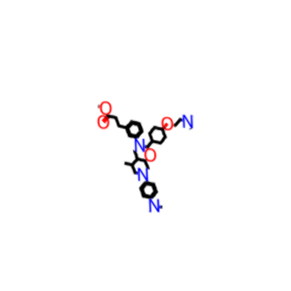 COC(=O)CCc1cccc(N(CC2CCN(c3ccc(N(C)C)cc3)CC2C)C(=O)C2CCC(OCCN(C)C)CC2)c1